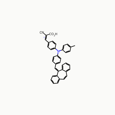 [C-]#[N+]/C(=C/c1ccc(N(c2ccc(C)cc2)c2ccc(C=C3c4ccccc4C=Cc4ccccc43)cc2)cc1)C(=O)O